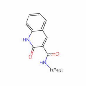 CCCCCNC(=O)c1cc2ccccc2[nH]c1=O